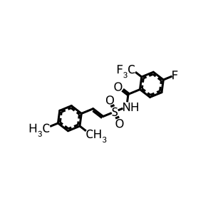 Cc1ccc(C=CS(=O)(=O)NC(=O)c2ccc(F)cc2C(F)(F)F)c(C)c1